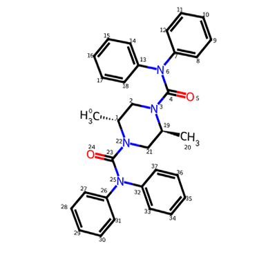 C[C@@H]1CN(C(=O)N(c2ccccc2)c2ccccc2)[C@@H](C)CN1C(=O)N(c1ccccc1)c1ccccc1